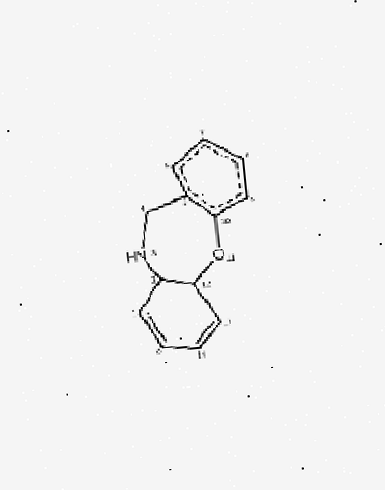 C1=CC2NCc3ccccc3OC2C=C1